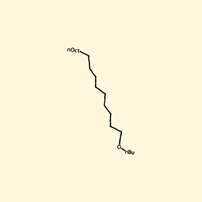 [CH2]CCCCCCCCCCCCCCCCOCCCC